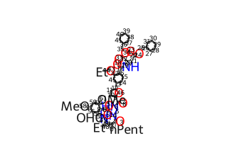 CCCCC[C@@H](C(=O)NCNC(=O)c1ccc(-c2ccc(C(=O)N[C@@H](CC(=O)OCc3ccccc3)C(=O)OCc3ccccc3)c(OCC)c2)o1)[C@@H](CC)N(C=O)OC(=O)c1ccc(OC)cc1OC